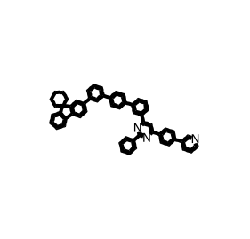 c1ccc(-c2nc(-c3ccc(-c4cccnc4)cc3)cc(-c3cccc(-c4ccc(-c5cccc(-c6ccc7c(c6)C6(CCCCC6)c6ccccc6-7)c5)cc4)c3)n2)cc1